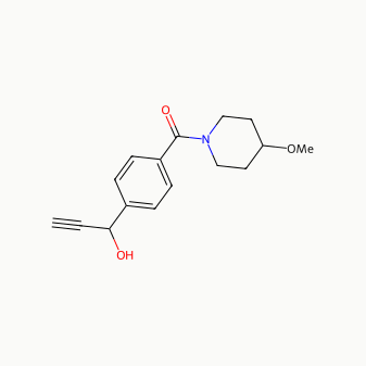 C#CC(O)c1ccc(C(=O)N2CCC(OC)CC2)cc1